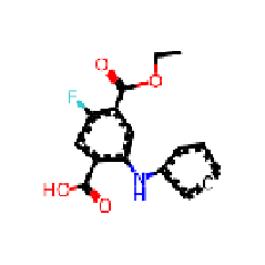 CCOC(=O)c1cc(Nc2ccccc2)c(C(=O)O)cc1F